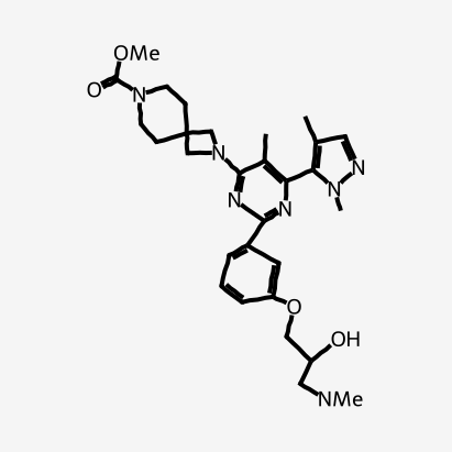 CNCC(O)COc1cccc(-c2nc(-c3c(C)cnn3C)c(C)c(N3CC4(CCN(C(=O)OC)CC4)C3)n2)c1